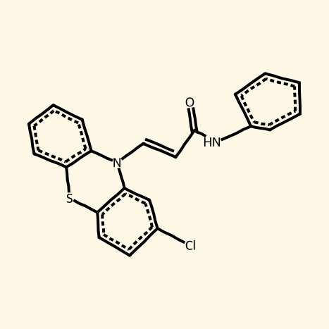 O=C(C=CN1c2ccccc2Sc2ccc(Cl)cc21)Nc1ccccc1